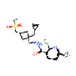 CCCS(=O)(=O)C[C@H]1C[C@](CNC(=O)c2ccc(C(F)(F)F)nc2Cl)(CC2CC2)C1